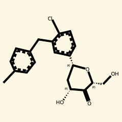 Cc1ccc(Cc2cc([C@H]3C[C@@H](O)C(=O)[C@@H](CO)O3)ccc2Cl)cc1